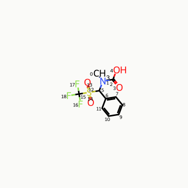 CN(C(=O)O)C(c1ccccc1)S(=O)(=O)C(F)(F)F